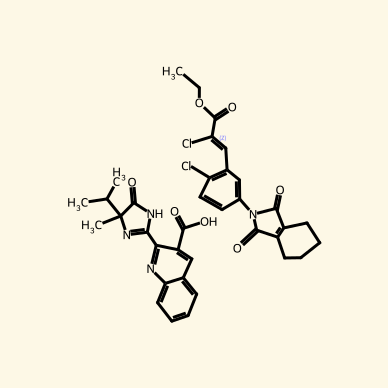 CC(C)C1(C)N=C(c2nc3ccccc3cc2C(=O)O)NC1=O.CCOC(=O)/C(Cl)=C/c1cc(N2C(=O)C3=C(CCCC3)C2=O)ccc1Cl